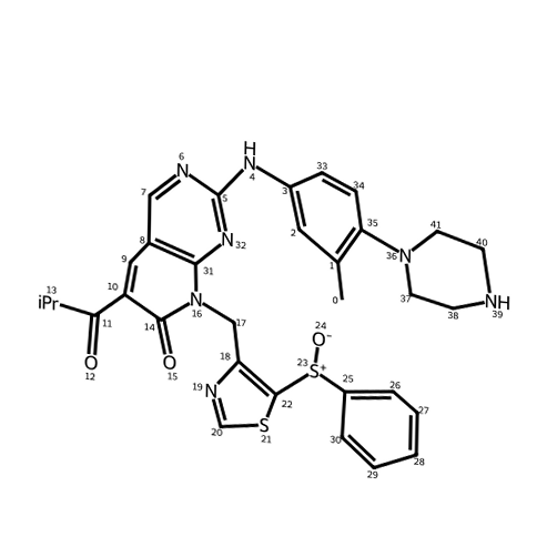 Cc1cc(Nc2ncc3cc(C(=O)C(C)C)c(=O)n(Cc4ncsc4[S+]([O-])c4ccccc4)c3n2)ccc1N1CCNCC1